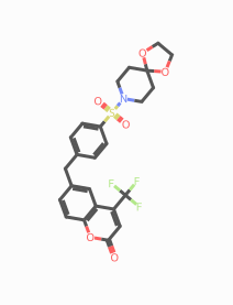 O=c1cc(C(F)(F)F)c2cc(Cc3ccc(S(=O)(=O)N4CCC5(CC4)OCCO5)cc3)ccc2o1